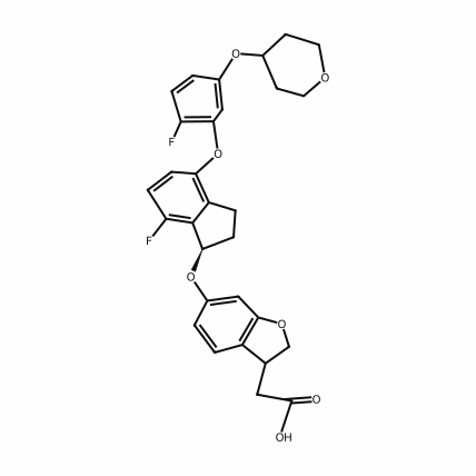 O=C(O)CC1COc2cc(O[C@@H]3CCc4c(Oc5cc(OC6CCOCC6)ccc5F)ccc(F)c43)ccc21